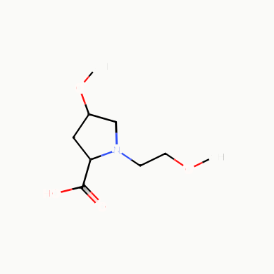 COCCN1CC(OC)CC1C(=O)O